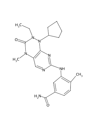 CCN1C(=O)N(C)c2cnc(Nc3cc(C(N)=O)ccc3C)nc2N1C1CCCC1